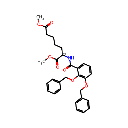 COC(=O)CCCC[C@@H](NC(=O)c1cccc(OCc2ccccc2)c1OCc1ccccc1)C(=O)OC